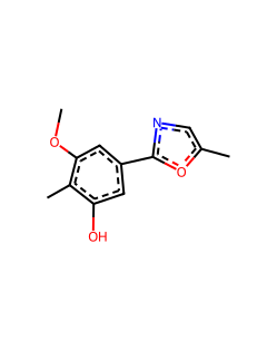 COc1cc(-c2ncc(C)o2)cc(O)c1C